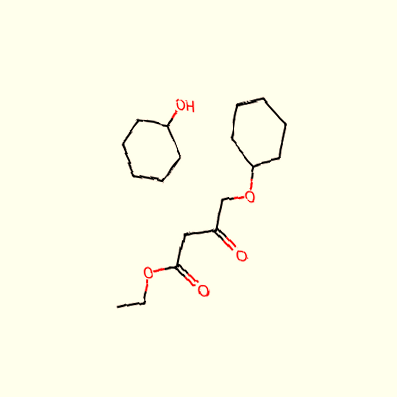 CCOC(=O)CC(=O)COC1CCCCC1.OC1CCCCC1